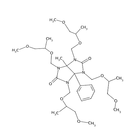 COCC(C)OCN1C(=O)N(COC(C)COC)C2(c3ccccc3)N(COC(C)COC)C(=O)N(COC(C)COC)C12C